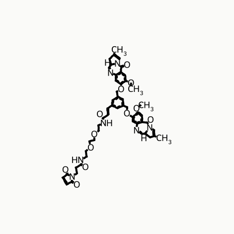 COc1cc2c(cc1OCc1cc(/C=C/C(=O)NCCOCCOCCNC(=O)CCN3C(=O)C=CC3=O)cc(COc3cc4c(cc3OC)C(=O)N3C=C(C)C[C@H]3C=N4)c1)N=C[C@@H]1CC(C)=CN1C2=O